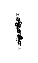 O=C(c1cccc2c1ncn2Cc1ccc(Cn2cnc3c(C(=O)C4CCNCC4)cccc32)cc1)C1CCNCC1